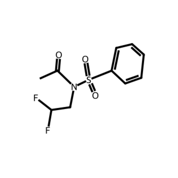 CC(=O)N(CC(F)F)S(=O)(=O)c1ccccc1